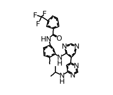 Cc1ccc(NC(=O)c2cccc(C(F)(F)F)c2)cc1Nc1ncncc1-c1cc(NC(C)C)ncn1